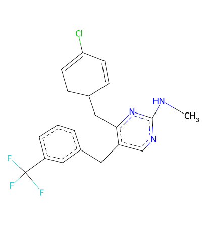 CNc1ncc(Cc2cccc(C(F)(F)F)c2)c(CC2C=CC(Cl)=CC2)n1